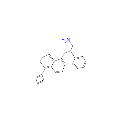 NCC1Cc2c(ccc3c2=CCCC=3C2=CC=C2)-c2ccccc21